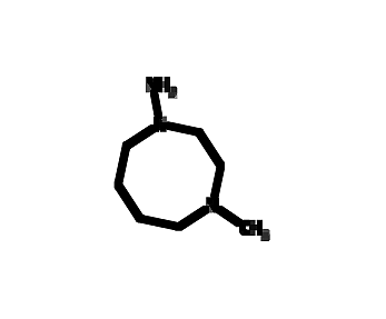 CN1CCCCN(N)CC1